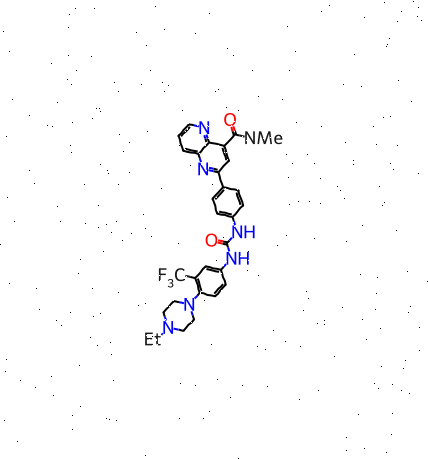 CCN1CCN(c2ccc(NC(=O)Nc3ccc(-c4cc(C(=O)NC)c5ncccc5n4)cc3)cc2C(F)(F)F)CC1